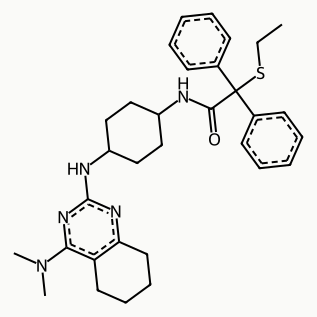 CCSC(C(=O)NC1CCC(Nc2nc3c(c(N(C)C)n2)CCCC3)CC1)(c1ccccc1)c1ccccc1